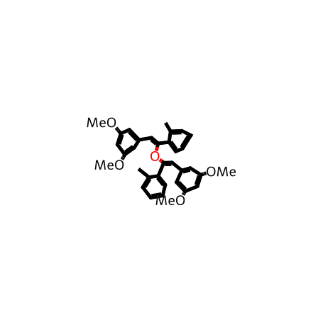 COc1cc(C=C(OC(=Cc2cc(OC)cc(OC)c2)c2ccccc2C)c2ccccc2C)cc(OC)c1